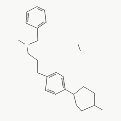 CC#N.CCCN(CCCc1ccc(C2CCC(C(F)(F)F)CC2)cc1)Cc1ccccc1